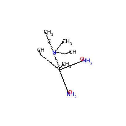 C#CC#CCCCCCCCCCCCCCCCCCC(CCCCCCCCCCCCCCCCCC(N)=O)(CCCCCCCCCCCCCCCCCC(N)=O)C(CCCC)CCCCCCCCCCCN(CCCCCCCCCCCCCCCC)C(CCCCCCCC#CC#C)CCCCCCCCCC